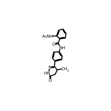 CC(=O)Nc1ccccc1C(=O)Nc1ccc(C2=NNC(=O)CC2C)cc1